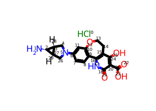 Cl.N[C@@H]1[C@H]2CN(c3ccc4c(c3)OCCc3c-4[nH]c(=O)c(C(=O)O)c3O)C[C@@H]12